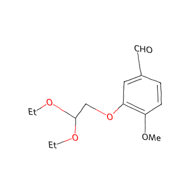 CCOC(COc1cc(C=O)ccc1OC)OCC